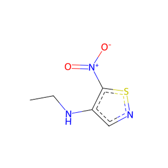 CCNc1cnsc1[N+](=O)[O-]